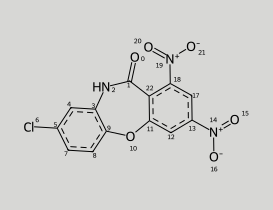 O=C1Nc2cc(Cl)ccc2Oc2cc([N+](=O)[O-])cc([N+](=O)[O-])c21